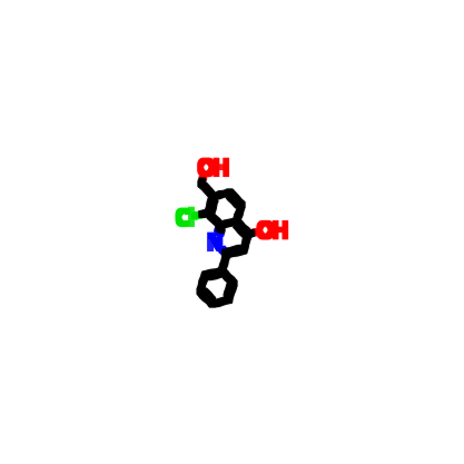 OCc1ccc2c(O)cc(-c3ccccc3)nc2c1Cl